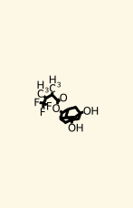 CC(C(=O)OC1C2CC3(O)CC1CC(O)(C2)C3)C(C)C(F)(F)F